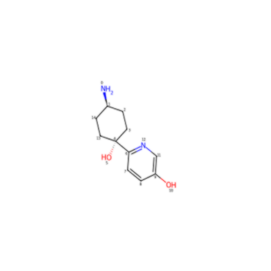 N[C@H]1CC[C@@](O)(c2ccc(O)cn2)CC1